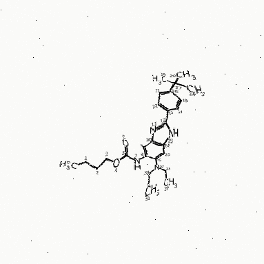 CCCCOC(=O)Nc1cc2nc(-c3ccc(C(C)(C)C)cc3)[nH]c2cc1N(CC)CC